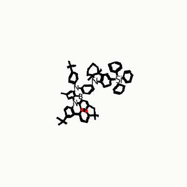 Cc1cc2c3c(c1)N(c1ccc(C(C)(C)C)cc1-c1ccccc1)c1cc4c(cc1B3c1ccc(N3c5ccc([Si](c6ccccc6)(c6ccccc6)c6ccccc6)cc5C5(C)CCCCC35C)cc1N2c1ccc(C(C)(C)C)cc1)CC(C)(C)C4